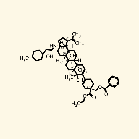 C=C(C)[C@@H]1CC[C@]2(NCC[C@]3(O)CC[C@@H](C)CC3)CC[C@]3(C)[C@H](CC[C@@H]4[C@@]5(C)CC=C(C6=CC[C@@](COC(=O)c7ccccc7)(C(=O)OCC)CC6)C(C)(C)[C@@H]5CC[C@]43C)[C@@H]12